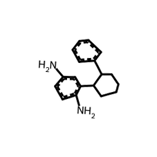 Nc1ccc(N)c(C2CCCCC2c2ccccc2)c1